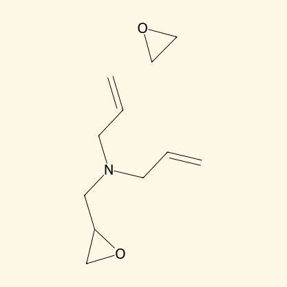 C1CO1.C=CCN(CC=C)CC1CO1